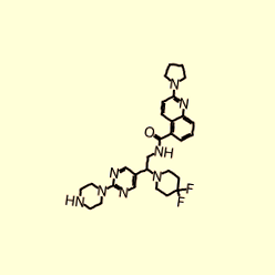 O=C(NCC(c1cnc(N2CCNCC2)nc1)N1CCC(F)(F)CC1)c1cccc2nc(N3CCCC3)ccc12